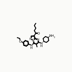 CCCCC(=O)c1cnn2c(Nc3ccc(OCC)cc3)c(C)c(N[C@H]3CC[C@H](N)CC3)nc12